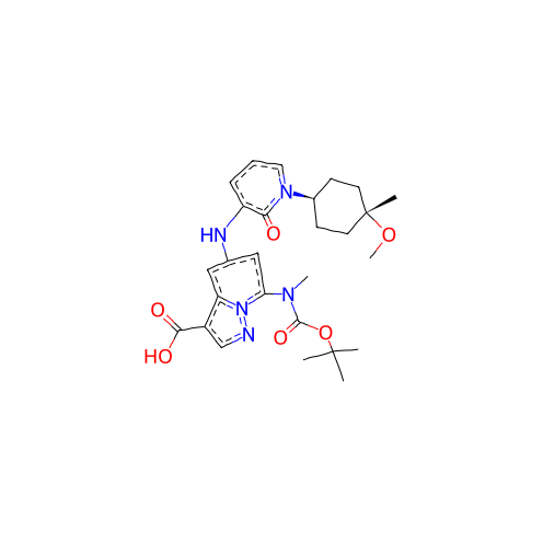 CO[C@]1(C)CC[C@@H](n2cccc(Nc3cc(N(C)C(=O)OC(C)(C)C)n4ncc(C(=O)O)c4c3)c2=O)CC1